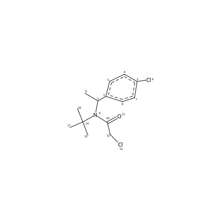 CC(c1ccc(Cl)cc1)N(C(=O)CCl)C(C)(C)C